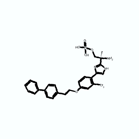 C[C@@](N)(COP(=O)(O)O)c1nc(-c2ccc(OCCc3ccc(-c4ccccc4)cc3)cc2C(F)(F)F)c[nH]1